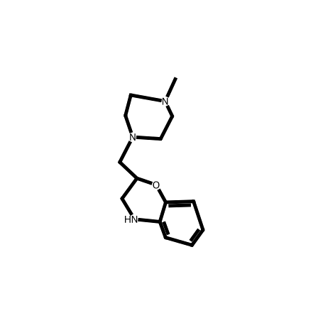 CN1CCN(CC2CNc3ccccc3O2)CC1